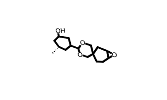 C[C@@H]1CC(O)CC(C2OCC3(CCC4OC4C3)CO2)C1